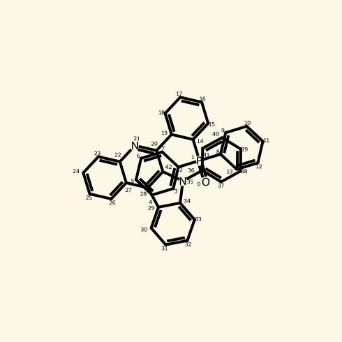 O=P(c1ccccc1)(c1ccccc1)c1ccccc1-c1nc2ccccc2c2c3ccccc3n(-c3ccccc3)c12